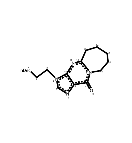 CCCCCCCCCCCCn1cnc2c(=O)n3c(nc21)CCCCC3